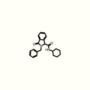 O=C(NC1CCCCC1)C1c2ccccc2C(=O)N1Cc1ccccc1